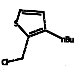 CCCCc1ccsc1CCl